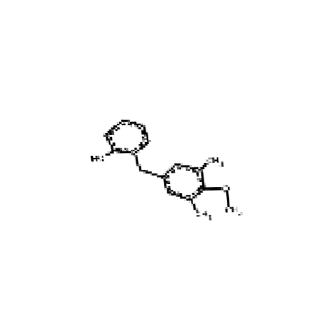 COc1c(C)cc(Cc2ccccc2O)cc1C